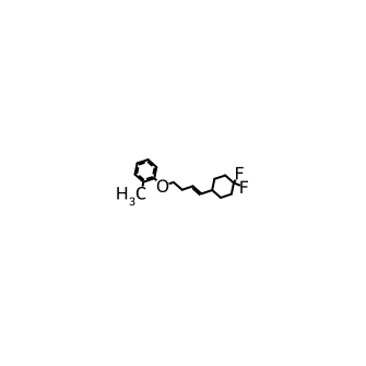 Cc1ccccc1OCC/C=C/C1CCC(F)(F)CC1